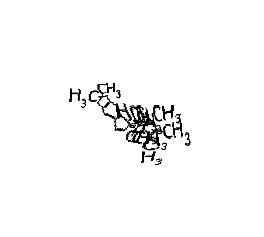 CC1=C(C)[C](C)([Zr]([CH3])([CH3])[C]2(C)C=Cc3cc4c(cc32)CC(C)(C)C4)C(C)=C1C